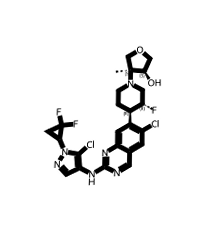 C[C@]1(N2CC[C@H](c3cc4nc(Nc5cnn(C6CC6(F)F)c5Cl)ncc4cc3Cl)[C@@H](F)C2)COC[C@H]1O